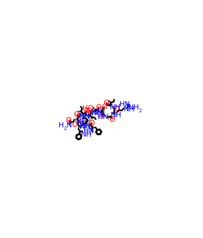 CC[C@H](C)[C@H](NC(=O)[C@@H](Cc1ccccc1)NC)C(=O)N[C@@H](Cc1c[nH]c2ccccc12)C(=O)N[C@H](CCC(N)=O)C(=O)N[C@@H](C(=O)N[C@H](C(=O)N[C@@H](CO)C(=O)N[C@H]1C(=O)N[C@@H](C)C(=O)N[C@@H](CCCCNC(=N)N)C(=O)N[C@@H]([C@@H](C)CC)C(=O)O[C@H]1C)[C@@H](C)CC)[C@@H](C)CC